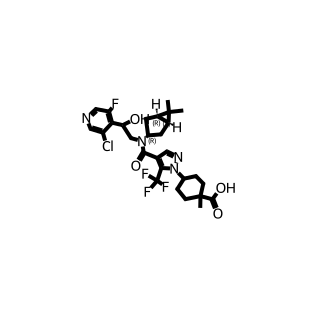 CC1(C(=O)O)CCC(n2ncc(C(=O)N(CC(O)c3c(F)cncc3Cl)[C@H]3C[C@@H]4[C@H](C3)C4(C)C)c2C(F)(F)F)CC1